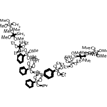 CC(C)O[Si](OC(C)C)(OC(C)C)c1ccccc1.CCCO[Si](OCCC)(OCCC)c1ccccc1.CCOC([SiH3])(OCC)OCC.CCO[Si](OCC)(OCC)OCC.CCO[Si](OCC)(OCC)c1ccccc1.COC([SiH3])(OC)OC.COCC([SiH3])(OC)OC.CO[Si](C)(OC)OC.CO[Si](OC)(OC)OC.CO[Si](OC)(OC)c1ccccc1